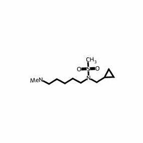 CNCCCCCN(CC1CC1)S(C)(=O)=O